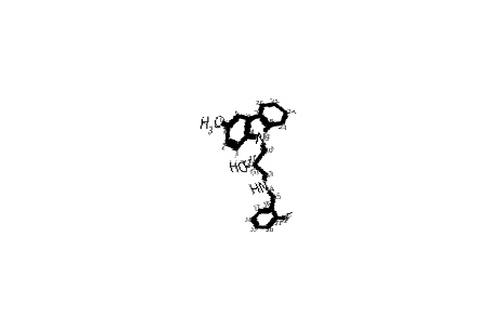 Cc1ccc2c(c1)c1c(n2C[C@@H](O)CNCc2ccccc2F)CCCC1